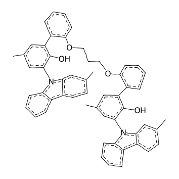 Cc1cc(-c2ccccc2OCCCOc2ccccc2-c2cc(C)cc(-n3c4ccccc4c4ccc(C)cc43)c2O)c(O)c(-n2c3ccccc3c3ccc(C)cc32)c1